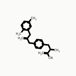 C=C(Cc1ccc(CC(C)C(=C)C#N)cc1)Cc1cc(C)ccc1C